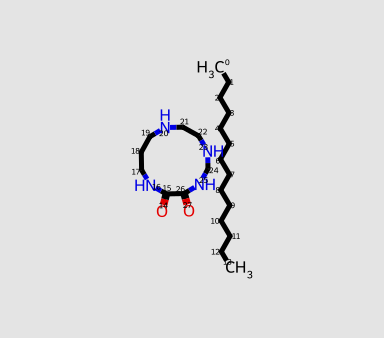 CCCCCCCCCCCCCC.O=C1NCCCNCCNCNC1=O